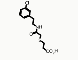 O=C(O)CCSCC(=O)NCCc1cccc(Cl)c1